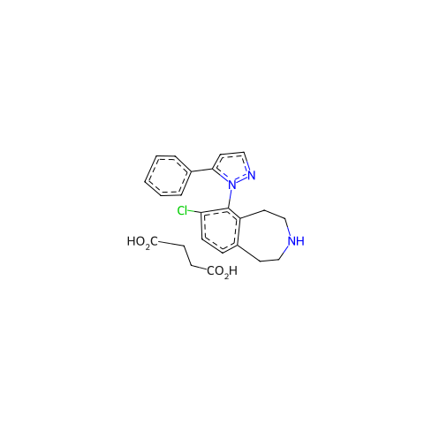 Clc1ccc2c(c1-n1nccc1-c1ccccc1)CCNCC2.O=C(O)CCC(=O)O